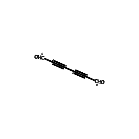 O=CC#CC#CC=O